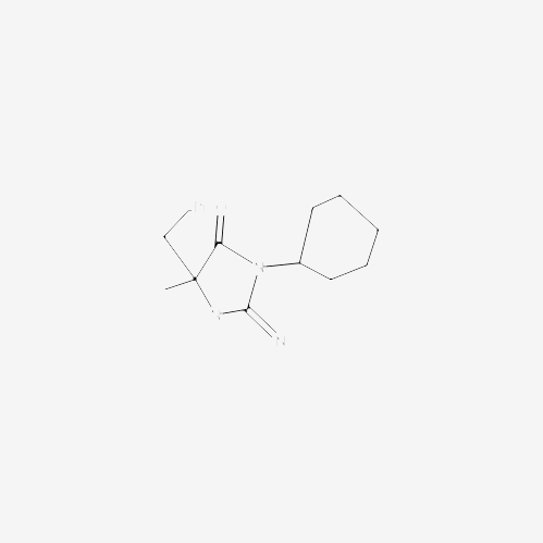 CC(C)CC1(C)NC(=N)N(C2CCCCC2)C1=O